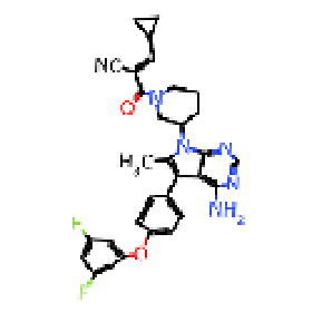 Cc1c(-c2ccc(Oc3cc(F)cc(F)c3)cc2)c2c(N)ncnc2n1C1CCCN(C(=O)C(C#N)=CC2CC2)C1